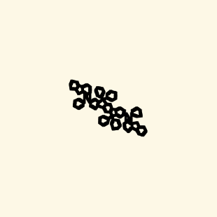 c1ccc(N(c2ccc3c(c2)C(c2ccccc2)(c2ccccc2)c2cc4c(cc2-3)C(c2ccccc2)(c2ccccc2)c2cc(N(c3ccccc3)c3cccc5c3Cc3ccccc3-5)ccc2-4)c2cccc3c2Cc2ccccc2-3)cc1